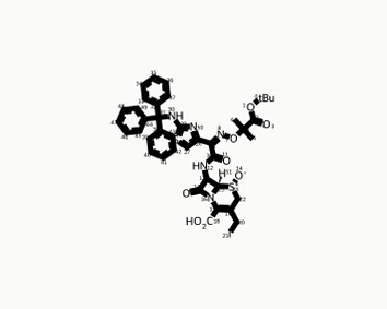 CC(C)(C)OC(=O)C(C)(C)O/N=C(\C(=O)NC1C(=O)N2C(C(=O)O)=C(CI)C[S+]([O-])[C@H]12)c1csc(NC(c2ccccc2)(c2ccccc2)c2ccccc2)n1